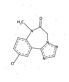 CN1C(=O)Cn2ncnc2-c2cc(Cl)ccc21